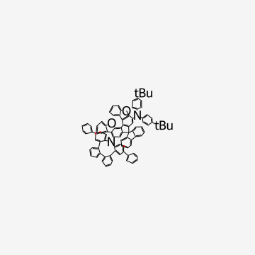 CC(C)(C)c1ccc(N(c2ccc(C(C)(C)C)cc2)c2cc3c(c4c2oc2ccccc24)-c2c(cc(-n4c5ccc(-c6ccccc6)cc5c5ccccc5c5ccccc5c5cc(-c6ccccc6)ccc54)c4c2oc2ccccc24)C32c3ccccc3-c3ccccc32)cc1